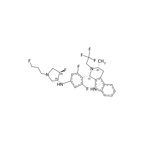 C[C@@H]1Cc2c([nH]c3ccccc23)[C@H](c2c(F)cc(N[C@@H]3CN(CCCF)C[C@H]3F)cc2F)N1CC(F)(F)F